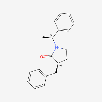 C[C@@H](c1ccccc1)N1CC[C@@H](Cc2ccccc2)C1=O